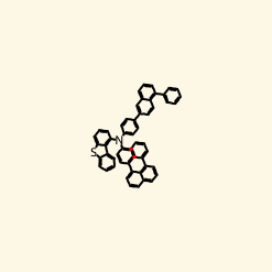 c1ccc(-c2cccc3cc(-c4ccc(N(c5ccc(-c6cccc7cccc(-c8ccccc8)c67)cc5)c5cccc6sc7ccccc7c56)cc4)ccc23)cc1